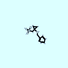 O=S(=O)(Cl)CC1(OCc2ccccc2)CC1